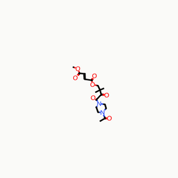 COC(=O)/C=C/C(=O)OCC(C)(C)C(=O)C(=O)N1CCN(C(C)=O)CC1